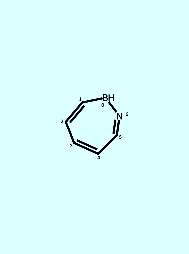 B1C=CC=CC=N1